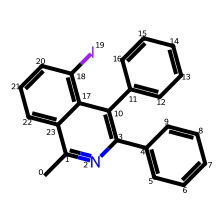 Cc1nc(-c2ccccc2)c(-c2ccccc2)c2c(I)cccc12